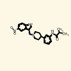 CC(C)C(=O)Nc1cccc(C2CCN(Cc3c[nH]c4ccc([N+](=O)[O-])cc34)CC2)c1